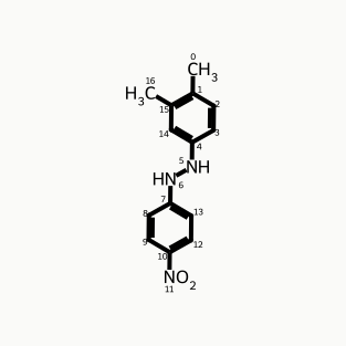 Cc1ccc(NNc2ccc([N+](=O)[O-])cc2)cc1C